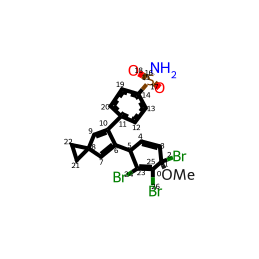 COC1(Br)C=CC(C2=CC3(C=C2c2ccc(S(N)(=O)=O)cc2)CC3)C(Br)=C1Br